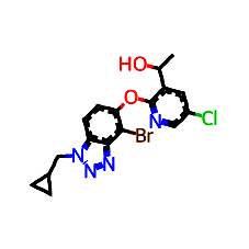 CC(O)c1cc(Cl)cnc1Oc1ccc2c(nnn2CC2CC2)c1Br